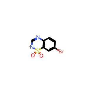 O=S1(=O)[N]C=Nc2ccc(Br)cc21